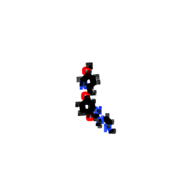 C=N/C=C\N(C)c1nc2cc(OCc3ccc(OC)cn3)ccc2o1